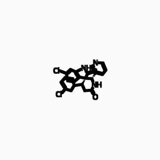 O=C1CC(C2C=CC=C(Cl)C2)[C@]2(C(=O)Nc3cc(Cl)ccc32)[C@H](c2cccnc2)N1